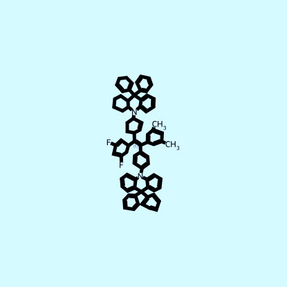 Cc1cc(C)cc(/C(=C(\C2C=CC(N3c4ccccc4C(C4=CCCC=C4)(c4ccccc4)C4CCCCC43)CC2)C2C=C(F)C=C(F)C2)c2ccc(N3c4ccccc4C(c4ccccc4)(c4ccccc4)c4ccccc43)cc2)c1